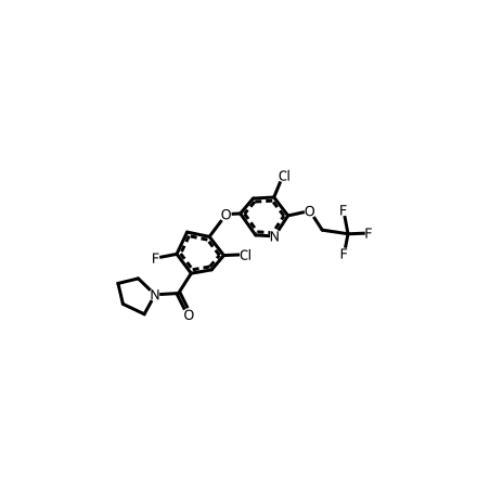 O=C(c1cc(Cl)c(Oc2cnc(OCC(F)(F)F)c(Cl)c2)cc1F)N1CCCC1